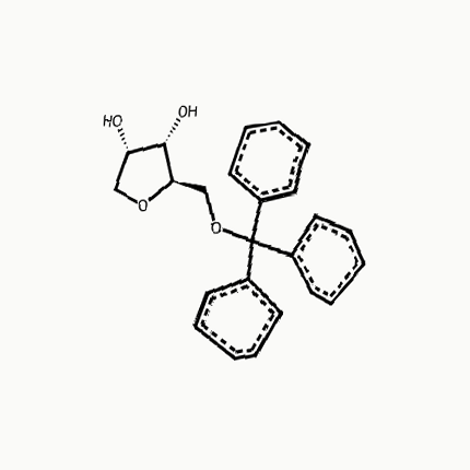 O[C@H]1[C@@H](O)CO[C@@H]1COC(c1ccccc1)(c1ccccc1)c1ccccc1